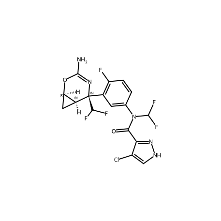 NC1=N[C@@](c2cc(N(C(=O)c3n[nH]cc3Cl)C(F)F)ccc2F)(C(F)F)[C@H]2C[C@H]2O1